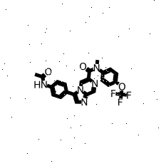 CC(=O)Nc1ccc(-c2cnc3cnc(C(=O)N(C)c4ccc(OC(F)(F)F)cc4)cn23)cc1